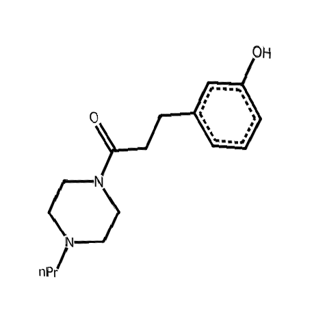 CCCN1CCN(C(=O)CCc2cccc(O)c2)CC1